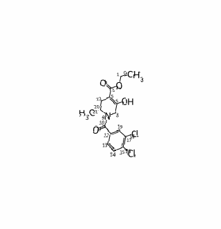 CCOC(=O)C1=C(O)CN(C(=O)c2ccc(Cl)c(Cl)c2)[C@H](C)C1